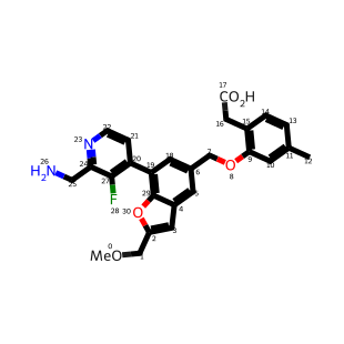 COCc1cc2cc(COc3cc(C)ccc3CC(=O)O)cc(-c3ccnc(CN)c3F)c2o1